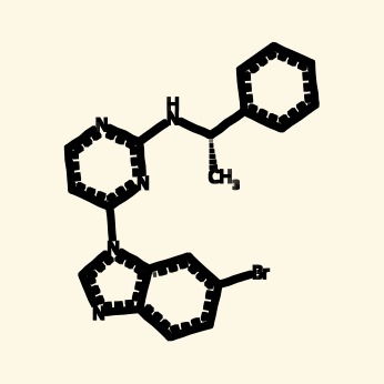 C[C@H](Nc1nccc(-n2cnc3ccc(Br)cc32)n1)c1ccccc1